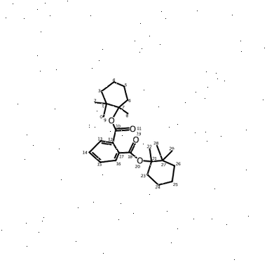 CC1(C)CCCCC1(C)OC(=O)c1ccccc1C(=O)OC1(C)CCCCC1(C)C